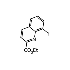 CCOC(=O)c1ccc2cccc(I)c2n1